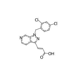 O=C(O)C=Cc1nn(Cc2ccc(Cl)cc2Cl)c2cnccc12